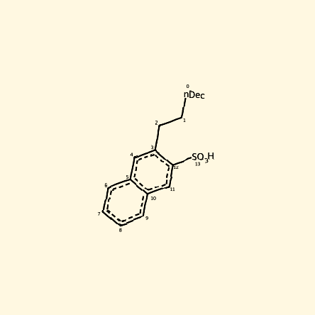 CCCCCCCCCCCCc1cc2ccccc2cc1S(=O)(=O)O